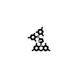 Cc1cc(C)c(B(c2ccc(B3c4c(C)cc(C)cc4Cc4cc(C)cc(C)c43)s2)c2c(C)cc(C)cc2C)c(C)c1